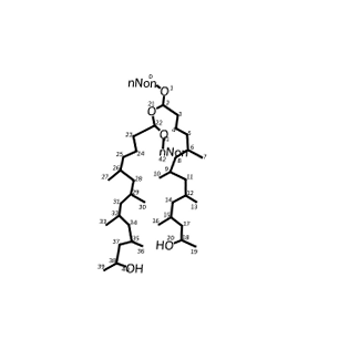 CCCCCCCCCOC(CCCC(C)CC(C)CC(C)CC(C)CC(C)O)OC(CCCC(C)CC(C)CC(C)CC(C)CC(C)O)OCCCCCCCCC